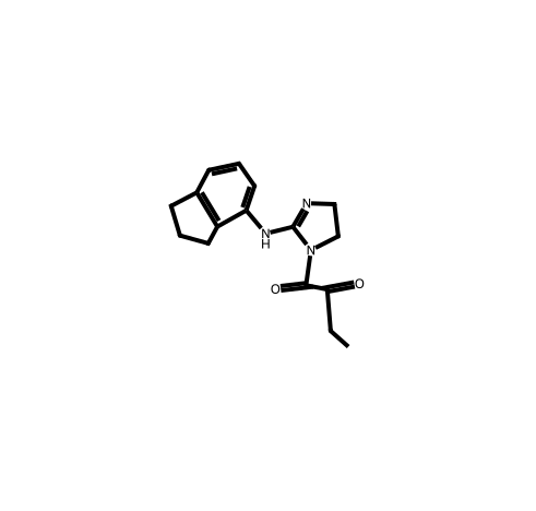 CCC(=O)C(=O)N1CCN=C1Nc1cccc2c1CCC2